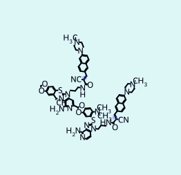 C#Cc1cc2c(cc1Sc1nc3c(N)nc(C4Oc5cc(Sc6nc7c(N)nccc7n6CCCNC(=O)/C(C#N)=C/c6ccc7cc(N8CCN(C)CC8)ccc7c6)c(N(C)C)cc5O4)cc3n1CCCNC(=O)/C(C#N)=C/c1ccc3cc(N4CCN(C)CC4)ccc3c1)OCO2